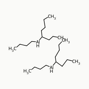 CCC[CH2][AlH][CH](CCC)CCCC.CCC[CH2][AlH][CH](CCC)CCCC